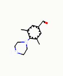 Cc1cc(C=O)cc(C)c1N1CCNCC1